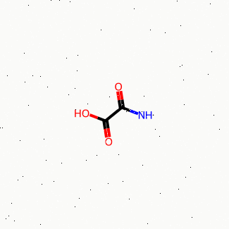 [NH]C(=O)C(=O)O